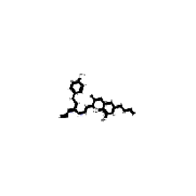 C=C/C=C(\C=C/CC1Oc2c(F)cc(CCC=C)cc2CC1C)CCc1ccc(F)cc1